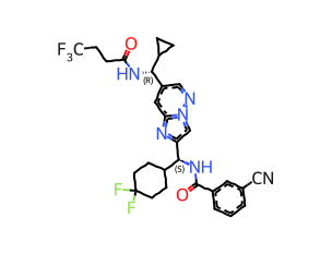 N#Cc1cccc(C(=O)N[C@H](c2cn3ncc([C@H](NC(=O)CCC(F)(F)F)C4CC4)cc3n2)C2CCC(F)(F)CC2)c1